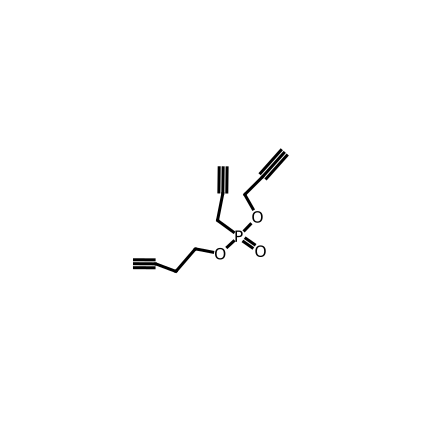 C#CCCOP(=O)(CC#C)OCC#C